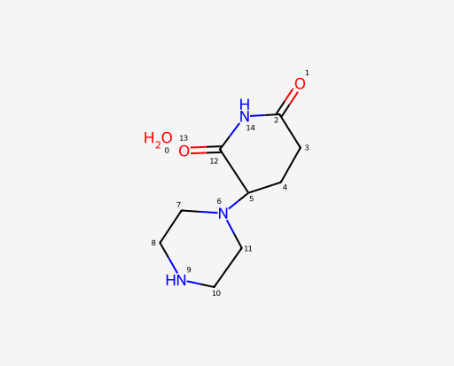 O.O=C1CCC(N2CCNCC2)C(=O)N1